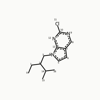 CCC(Cn1ccc2cnc(Cl)nc21)C(C)C